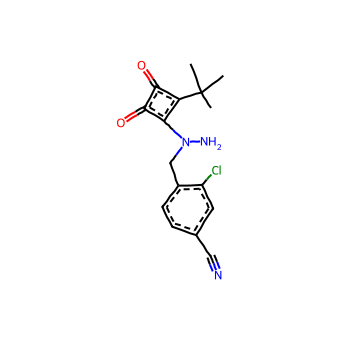 CC(C)(C)c1c(N(N)Cc2ccc(C#N)cc2Cl)c(=O)c1=O